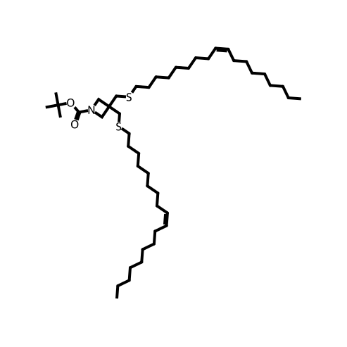 CCCCCCCC/C=C\CCCCCCCCSCC1(CSCCCCCCCC/C=C\CCCCCCCC)CN(C(=O)OC(C)(C)C)C1